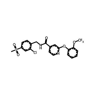 CS(=O)(=O)c1ccc(CNC(=O)c2ccnc(Oc3ccccc3OC(F)(F)F)c2)c(Cl)c1